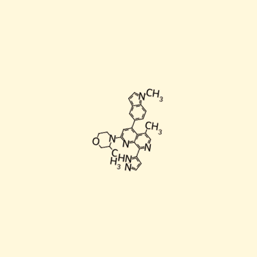 Cc1cnc(-c2ccn[nH]2)c2nc(N3CCOCC3C)cc(-c3ccc4c(ccn4C)c3)c12